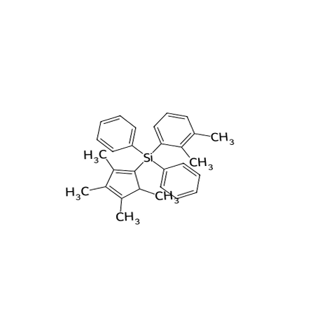 CC1=C(C)C(C)C([Si](c2ccccc2)(c2ccccc2)c2cccc(C)c2C)=C1C